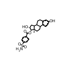 C[C@]12CCC3c4ccc(O)cc4CCC3C1C[C@@H](O)[C@@H]2OC(=O)c1ccc(S(N)(=O)=O)cc1